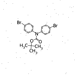 CC(C)(C)OC(=O)N(c1ccc(Br)cc1)c1ccc(Br)cc1